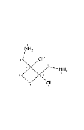 NCC1(Cl)CCC1(Cl)CN